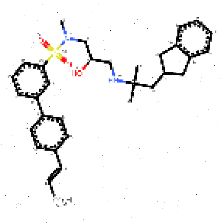 CN(C[C@H](O)CNC(C)(C)CC1Cc2ccccc2C1)S(=O)(=O)c1cccc(-c2ccc(/C=C/C(=O)O)cc2)c1